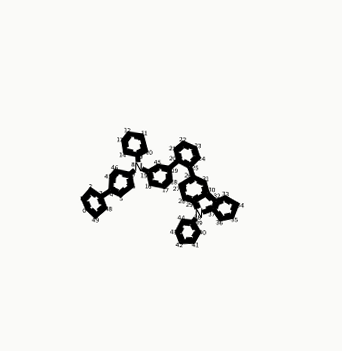 c1ccc(-c2ccc(N(c3ccccc3)c3cccc(-c4ccccc4-c4ccc5c(c4)c4ccccc4n5-c4ccccc4)c3)cc2)cc1